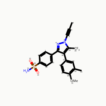 CC#Cn1nc(-c2ccc(S(N)(=O)=O)cc2)c(-c2ccc(OC)c(C)c2)c1C(F)(F)F